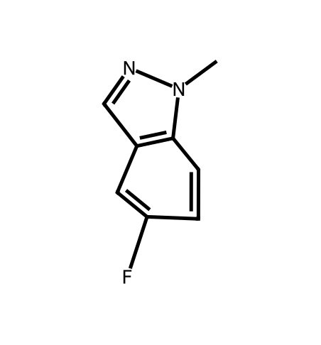 Cn1ncc2cc(F)ccc21